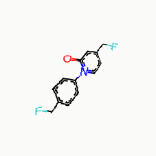 O=c1cc(CF)ccn1-c1ccc(CF)cc1